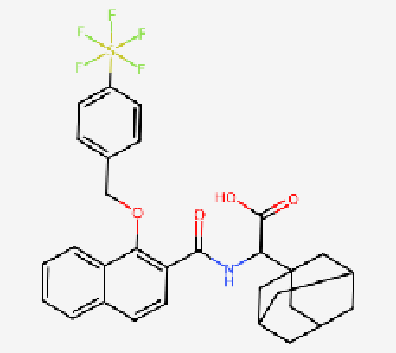 O=C(NC(C(=O)O)C12CC3CC(CC(C3)C1)C2)c1ccc2ccccc2c1OCc1ccc(S(F)(F)(F)(F)F)cc1